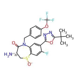 CC(C)(C)c1nnc(-c2cc3c(cc2F)[S+]([O-])C[C@H](N)C(=O)N3Cc2ccc(OC(F)(F)F)cc2)o1